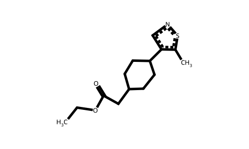 CCOC(=O)CC1CCC(c2cnsc2C)CC1